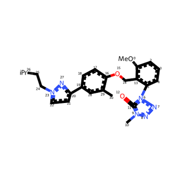 COc1cccc(-n2nnn(C)c2=O)c1COc1ccc(-c2ccn(CCC(C)C)n2)cc1C